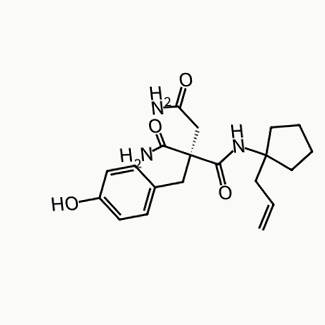 C=CCC1(NC(=O)[C@@](CC(N)=O)(Cc2ccc(O)cc2)C(N)=O)CCCC1